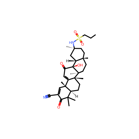 CCCS(=O)(=O)N[C@@]1(C)CC[C@]2(C)CC[C@@]3(C)[C@]4(C)CC[C@H]5C(C)(C)C(=O)C(C#N)=C[C@]5(C)C4=CC(=O)[C@]3(O)[C@@H]2C1